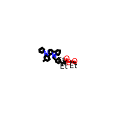 CCC(c1ccc(Cn2c3ccccc3c3ccc4c(c5ccc(C)cc5n4-c4ccccc4)c32)cc1)C(C)(CC)C(=O)OCC1(CC)CO1